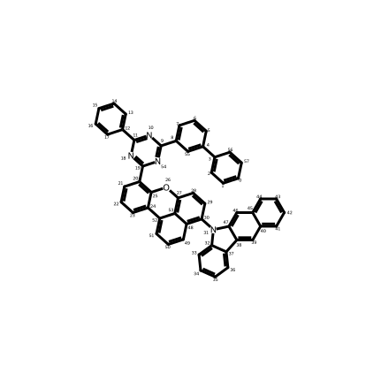 c1ccc(-c2cccc(-c3nc(-c4ccccc4)nc(-c4cccc5c4Oc4ccc(-n6c7ccccc7c7cc8ccccc8cc76)c6cccc-5c46)n3)c2)cc1